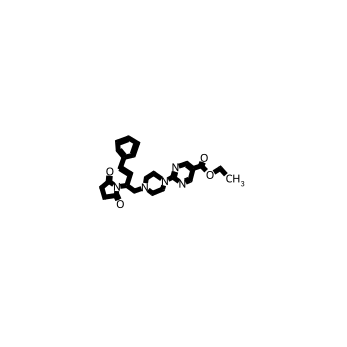 CCOC(=O)c1cnc(N2CCN(CC(/C=C/c3ccccc3)N3C(=O)CCC3=O)CC2)nc1